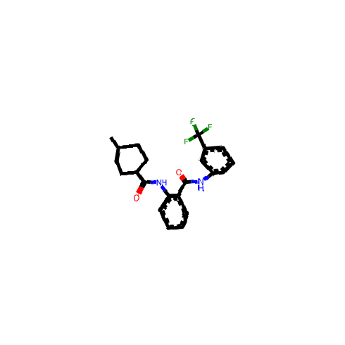 CC1CCC(C(=O)Nc2ccccc2C(=O)Nc2cccc(C(F)(F)F)c2)CC1